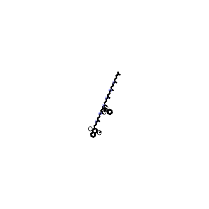 COc1cc(CC/C=C(\C)CC/C=C(\C)CC(/C=C(\C)CC/C=C(\C)CC/C=C(\C)CC/C=C(\C)CCC=C(C)C)S(=O)(=O)c2ccccc2)c(OC)c2ccccc12